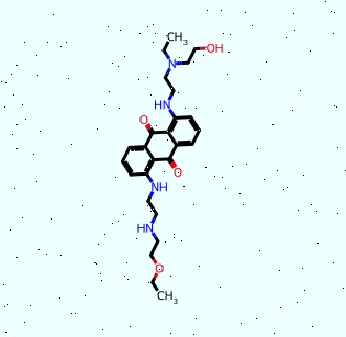 CCOCCNCCNc1cccc2c1C(=O)c1cccc(NCCN(CC)CCO)c1C2=O